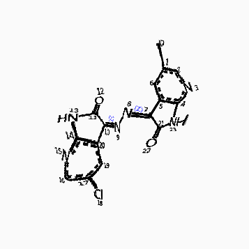 Cc1cnc2c(c1)/C(=N/N=C1\C(=O)Nc3ncc(Cl)cc31)C(=O)N2